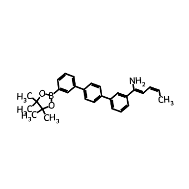 C/C=C\C=C(/N)c1cccc(-c2ccc(-c3cccc(B4OC(C)(C)C(C)(C)O4)c3)cc2)c1